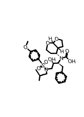 COc1ccc(S(=O)(=O)N(CC(C)C)C[C@@H](O)[C@H](Cc2ccccc2)N(C(=O)O)[C@@H]2CCO[C@@H]3OCC[C@@H]32)cc1